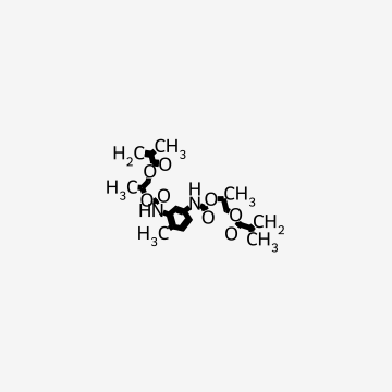 C=C(C)C(=O)OCC(C)OC(=O)Nc1ccc(C)c(NC(=O)OC(C)COC(=O)C(=C)C)c1